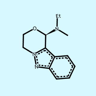 CCN(C)[C@@H]1OCCn2nc3ccccc3c21